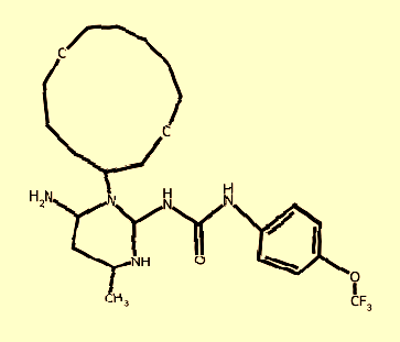 CC1CC(N)N(C2CCCCCCCCCCC2)C(NC(=O)Nc2ccc(OC(F)(F)F)cc2)N1